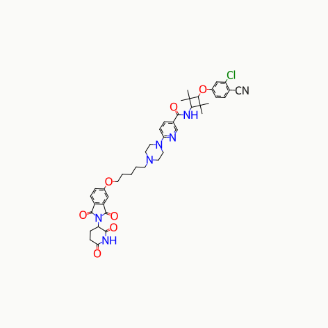 CC1(C)C(NC(=O)c2ccc(N3CCN(CCCCCOc4ccc5c(c4)C(=O)N(C4CCC(=O)NC4=O)C5=O)CC3)nc2)C(C)(C)C1Oc1ccc(C#N)c(Cl)c1